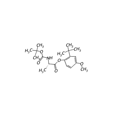 COc1ccc(OC(=O)[C@H](C)NC(=O)OC(C)(C)C)c(C(C)(C)C)c1